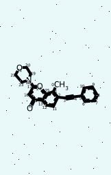 Cc1c(C#Cc2ccccc2)ccc2c(=O)cc(N3CCOCC3)oc12